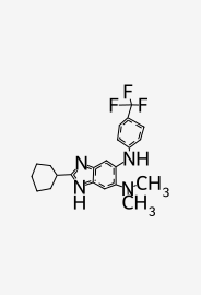 CN(C)c1cc2[nH]c(C3CCCCC3)nc2cc1Nc1ccc(C(F)(F)F)cc1